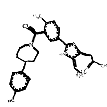 C=C(C)/C=c1/nc(-c2ccc(C)c(C(=O)N3CCC(c4ccc(C#N)cc4)CC3)c2)[nH]/c1=C/C